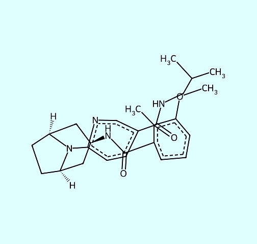 COc1cccc(C(=O)N[C@H]2C[C@H]3CC[C@@H](C2)N3c2ccc(C(=O)NCC(C)C)cn2)c1C